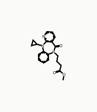 COC(=O)CCCN1C(=O)c2cccnc2N(C2CC2)c2ccccc21